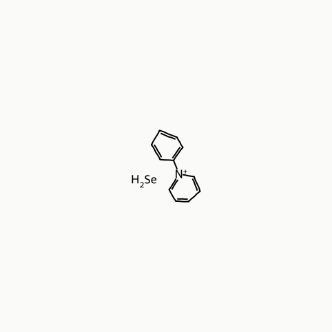 [SeH2].c1ccc(-[n+]2ccccc2)cc1